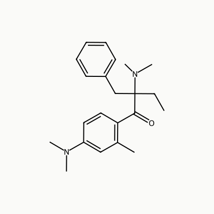 CCC(Cc1ccccc1)(C(=O)c1ccc(N(C)C)cc1C)N(C)C